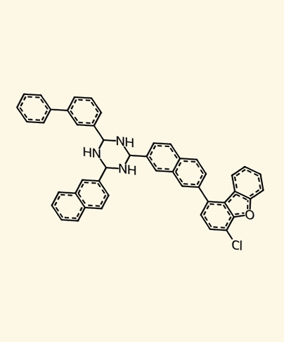 Clc1ccc(-c2ccc3ccc(C4NC(c5cccc(-c6ccccc6)c5)NC(c5ccc6ccccc6c5)N4)cc3c2)c2c1oc1ccccc12